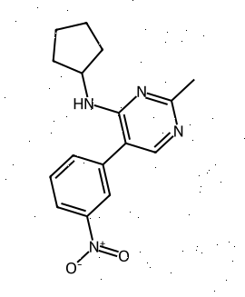 Cc1ncc(-c2cccc([N+](=O)[O-])c2)c(NC2CCCC2)n1